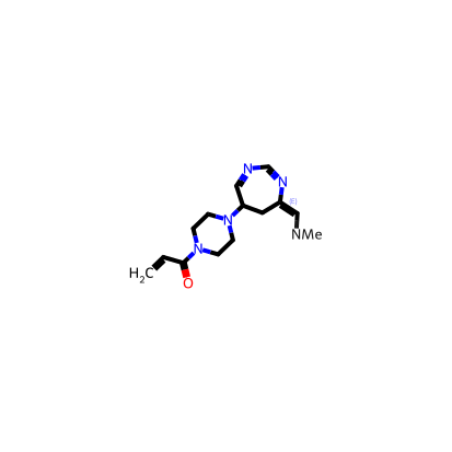 C=CC(=O)N1CCN(C2C=NC=N/C(=C/NC)C2)CC1